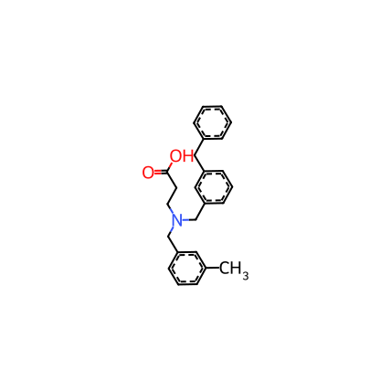 Cc1cccc(CN(CCC(=O)O)Cc2cccc(Cc3ccccc3)c2)c1